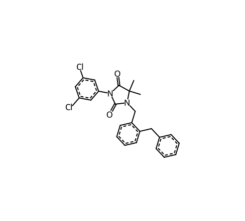 CC1(C)C(=O)N(c2cc(Cl)cc(Cl)c2)C(=O)N1Cc1ccccc1Cc1ccccc1